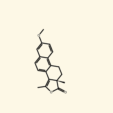 COc1ccc2c3c(ccc2c1)C1=C(C)OC(=O)[C@@]1(C)CC3